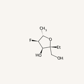 CC[C@]1(CO)O[C@@H](C)[C@H](F)[C@@H]1O